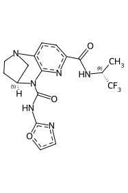 C[C@@H](NC(=O)c1ccc2c(n1)N(C(=O)Nc1ncco1)[C@H]1CCN2C1)C(F)(F)F